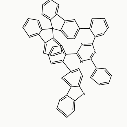 c1ccc(-c2nc(-c3ccccc3-c3ccc4c(c3)-c3ccccc3C43c4ccccc4-c4ccccc43)nc(-c3ccccc3-c3ccc4sc5ccccc5c4c3)n2)cc1